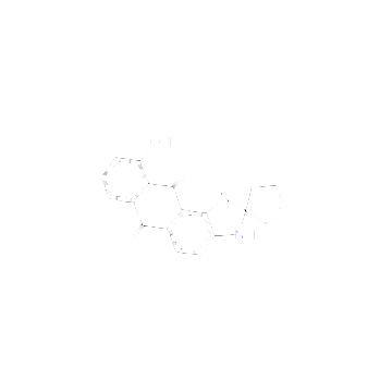 O=C1c2cccc(O)c2C(=O)c2c1ccc1c2NC2(CCOC2)N1